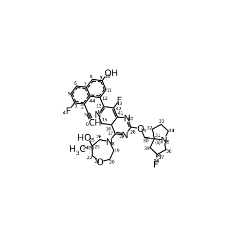 C#Cc1c(F)ccc2cc(O)cc(C3=NCC4C(N5CCOC[C@@](C)(O)C5)=NC(OC[C@@]56CCCN5C[C@H](F)C6)=NC4=C3F)c12